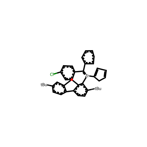 CC(C)(C)c1ccc2c(c1)Cc1c-2ccc(C(C)(C)C)[c]1/[Zr]([C]1=CC=CC1)=[C](/c1ccccc1)c1ccc(Cl)cc1